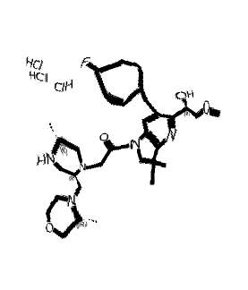 COC[C@H](O)c1nc2c(cc1Cc1ccc(F)cc1)N(C(=O)CN1C[C@@H](C)NC[C@@H]1CN1CCOC[C@H]1C)CC2(C)C.Cl.Cl.Cl